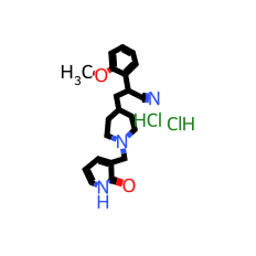 COc1ccccc1C(C#N)CC1CCN(Cc2ccc[nH]c2=O)CC1.Cl.Cl